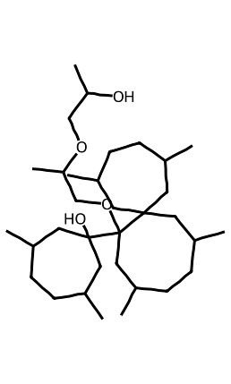 CC(O)COC(C)COC1(C2(O)CC(C)CCC(C)C2)CC(C)CCC(C)CC12CC(C)CCC(C)C2